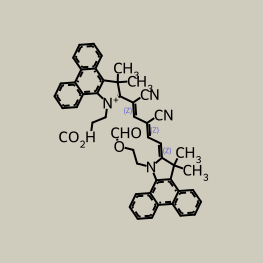 CC1(C)C(/C(C#N)=C/C(C#N)=C/C=C2\N(CCOC=O)c3c(c4ccccc4c4ccccc34)C2(C)C)=[N+](CCC(=O)O)c2c1c1ccccc1c1ccccc21